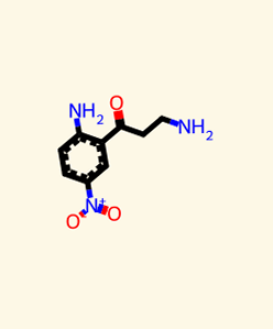 NCCC(=O)c1cc([N+](=O)[O-])ccc1N